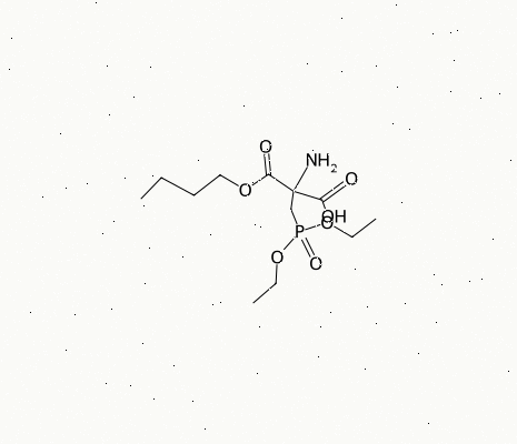 CCCCOC(=O)C(N)(CP(=O)(OCC)OCC)C(=O)O